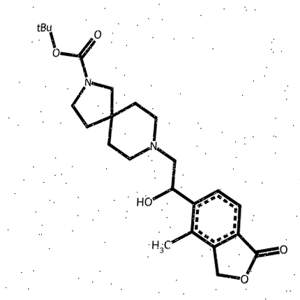 Cc1c(C(O)CN2CCC3(CC2)CCN(C(=O)OC(C)(C)C)C3)ccc2c1COC2=O